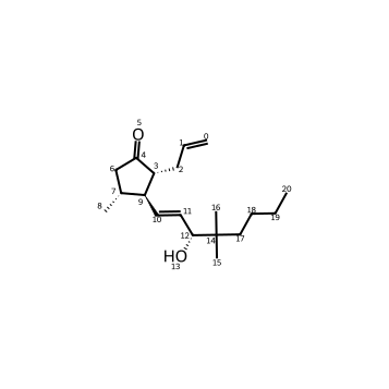 C=CC[C@H]1C(=O)C[C@@H](C)[C@@H]1/C=C/[C@@H](O)C(C)(C)CCCC